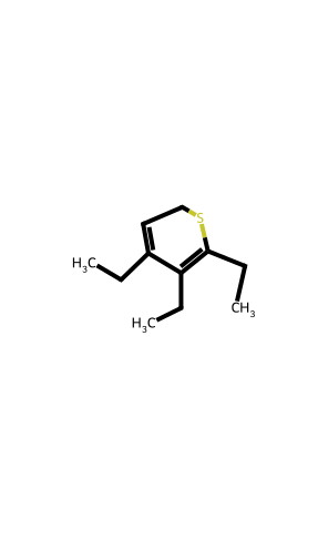 CCC1=CCSC(CC)=C1CC